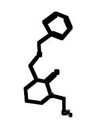 CCN1CCCC(COCc2ccccc2)C1=O